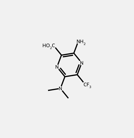 CN(C)c1nc(C(=O)O)c(N)nc1C(F)(F)F